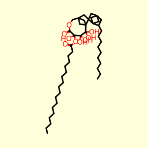 CCCCCCCCCCCCCCCCCC(=O)OC1(O)C(=O)OCC23CC4(CC56CC(CCCCCCCCCC)C4(C5)C6)C(C2)(C3)C(O)(O)C1(O)O